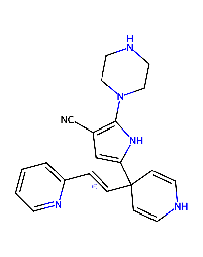 N#Cc1cc(C2(/C=C/c3ccccn3)C=CNC=C2)[nH]c1N1CCNCC1